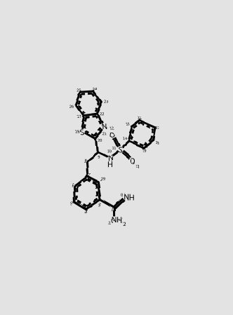 N=C(N)c1cccc(CC(NS(=O)(=O)c2ccccc2)c2nc3ccccc3s2)c1